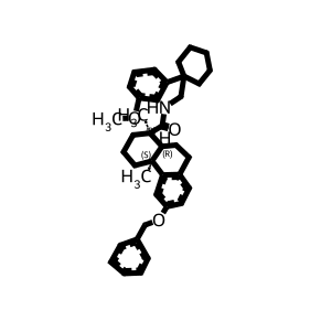 COc1cccc(C2(CNC(=O)[C@]3(C)CCC[C@]4(C)c5cc(OCc6ccccc6)ccc5CC[C@@H]34)CCCCC2)c1